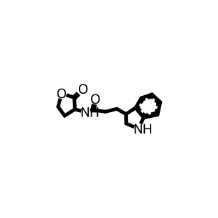 O=C(CCC1CNc2ccccc21)NC1CCOC1=O